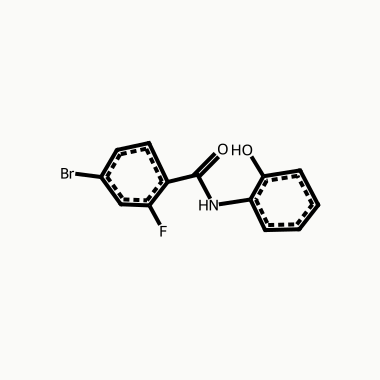 O=C(Nc1ccccc1O)c1ccc(Br)cc1F